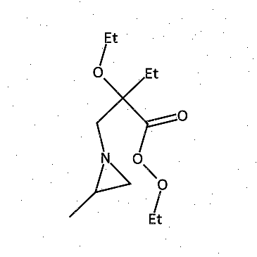 CCOOC(=O)C(CC)(CN1CC1C)OCC